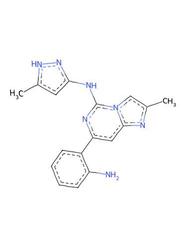 Cc1cn2c(Nc3cc(C)[nH]n3)nc(-c3ccccc3N)cc2n1